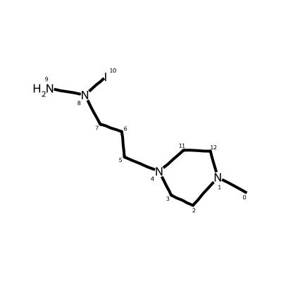 CN1CCN(CCCN(N)I)CC1